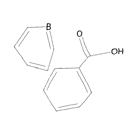 O=C(O)c1ccccc1.b1ccccc1